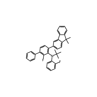 CC1(C)c2ccccc2-c2cc(-c3ccc(-c4ccccc4)c(F)c3N(c3ccccc3F)C(C)(C)C)ccc21